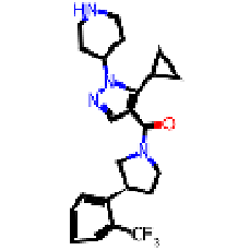 O=C(c1cnn(C2CCNCC2)c1C1CC1)N1CC[C@@H](c2ccccc2C(F)(F)F)C1